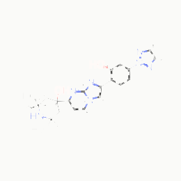 CC1(C)CC(O)(c2ccn3cc(-c4ccc(-n5nccn5)cc4O)nc3n2)CC(C)(C)N1